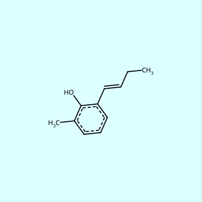 CCC=Cc1cccc(C)c1O